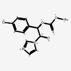 CCCCOC(=S)OC(c1ccc(Cl)cc1)C(Cl)n1ccnc1